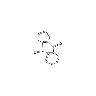 O=C1C2=C(C=C=C=C2)C(=O)c2ccccc21